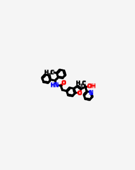 Cc1ccccc1C(NC(=O)Cc1ccc2oc(C(C)(O)c3ccccn3)cc2c1)c1ccccc1